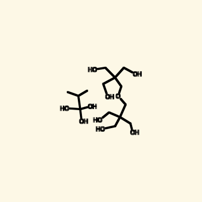 CC(C)C(O)(O)O.OCC(CO)(CO)COCC(CO)(CO)CO